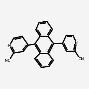 N#Cc1cc(-c2c3ccccc3c(-c3ccnc(C#N)c3)c3ccccc23)ccn1